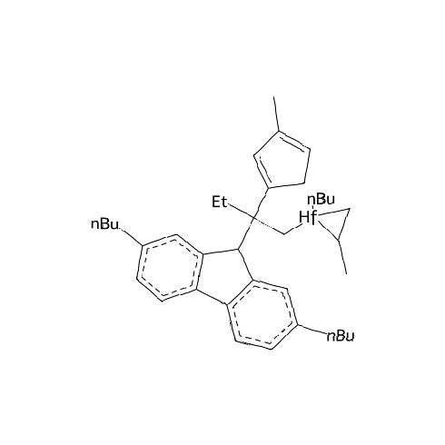 CCCCc1ccc2c(c1)C(C(CC)([CH2][Hf]1([CH2]CCC)[CH2][CH]1C)C1=CC(C)=CC1)c1cc(CCCC)ccc1-2